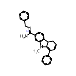 CN1C2=C(c3ccccc3)C=CCC2c2ccc(/C(N)=N/Cc3ccccc3)cc21